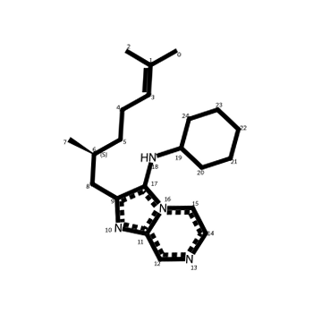 CC(C)=CCC[C@H](C)Cc1nc2cnccn2c1NC1CCCCC1